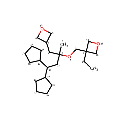 CCC1(COC(C)(CC2COC2)CC(C2CCCC2)C2CCCC2)COC1